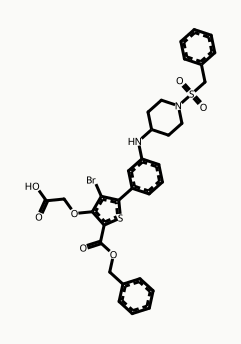 O=C(O)COc1c(C(=O)OCc2ccccc2)sc(-c2cccc(NC3CCN(S(=O)(=O)Cc4ccccc4)CC3)c2)c1Br